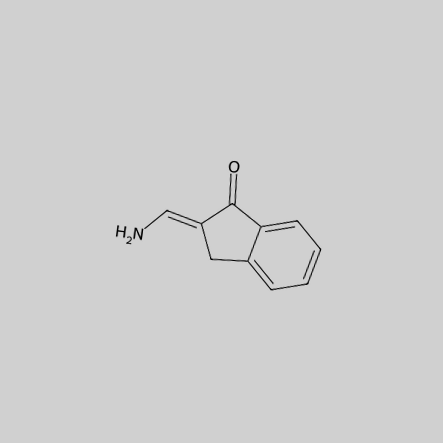 N/C=C1\Cc2ccccc2C1=O